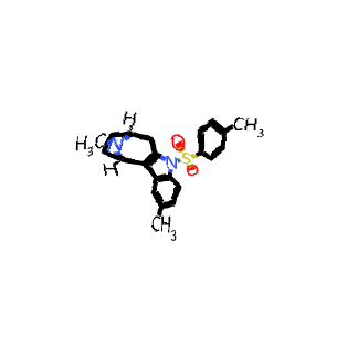 Cc1ccc(S(=O)(=O)n2c3c(c4cc(C)ccc42)[C@H]2CC[C@@H](C3)N2C)cc1